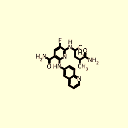 CC(CC(C)C(N)=O)Nc1nc(Nc2ccc3ncccc3c2)c(C(N)=O)cc1F